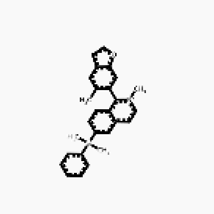 Cc1cc2ccoc2cc1-c1c2ccc([Si](C)(C)c3ccccc3)cc2cc[n+]1C